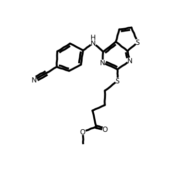 COC(=O)CCCSc1nc(Nc2ccc(C#N)cc2)c2ccsc2n1